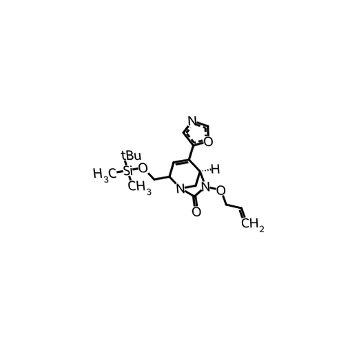 C=CCON1C(=O)N2C[C@H]1C(c1cnco1)=CC2CO[Si](C)(C)C(C)(C)C